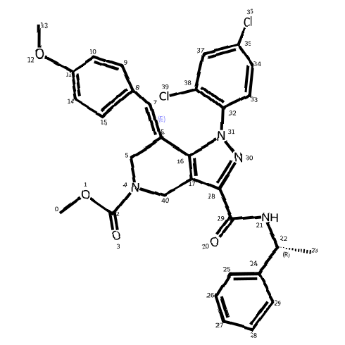 COC(=O)N1C/C(=C\c2ccc(OC)cc2)c2c(c(C(=O)N[C@H](C)c3ccccc3)nn2-c2ccc(Cl)cc2Cl)C1